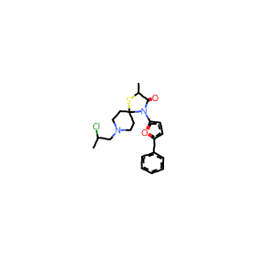 CC(Cl)CN1CCC2(CC1)SC(C)C(=O)N2c1ccc(-c2ccccc2)o1